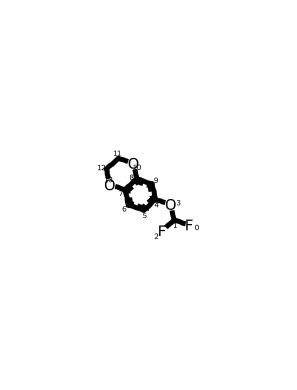 FC(F)Oc1[c]cc2c(c1)OCCO2